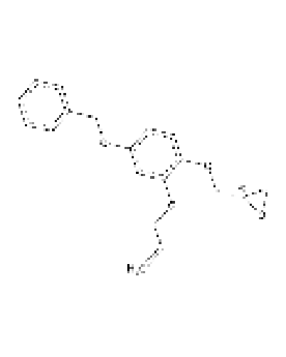 C=CCOc1cc(OCc2ccccc2)ccc1OC[C@@H]1CO1